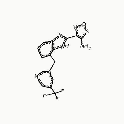 Nc1nonc1-c1nc2cccc(Cc3cncc(C(F)(F)F)c3)c2[nH]1